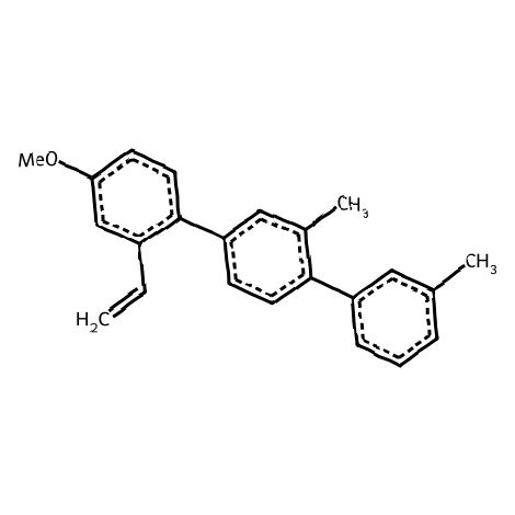 C=Cc1cc(OC)ccc1-c1ccc(-c2cccc(C)c2)c(C)c1